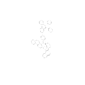 c1ccc(-c2c(-c3ccccc3)c3cc(-c4ccc(N(c5cccc6c5ccc5ccccc56)c5cccc6c5oc5c7ccccc7ccc65)cc4)ccc3c3ccccc23)cc1